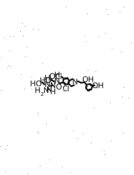 N/N=C(\NCCO)NC(NC(=O)c1c(Cl)cc2c(c1Cl)CCN(CCC(O)c1cccc(O)c1)C2)C(=O)O